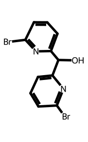 OC(c1cccc(Br)n1)c1cccc(Br)n1